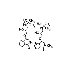 Cn1cc(OCC(O)CNC(C)(C)C)c2ccccc2c1=O.Cn1cc(OCC(O)CNC(C)(C)C)c2ccccc2c1=O